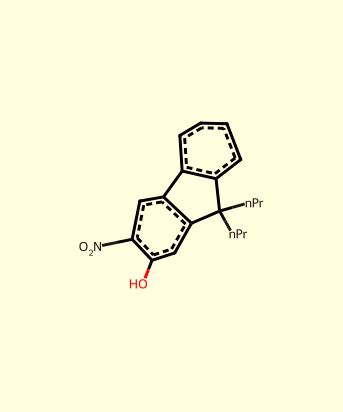 CCCC1(CCC)c2ccccc2-c2cc([N+](=O)[O-])c(O)cc21